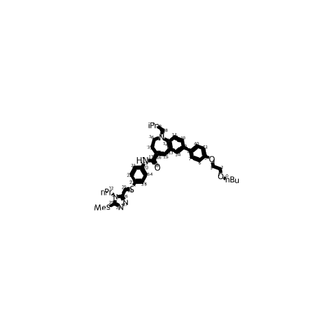 CCCCOCCOc1ccc(-c2ccc3c(c2)C=C(C(=O)Nc2ccc(SCc4nnc(SC)n4CCC)cc2)CCN3CC(C)C)cc1